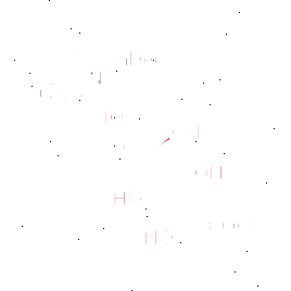 CCCCCCCCCC[N+](C)(C)CCCCCCCC.O=C([O-])[C@H](O)[C@@H](O)[C@H](O)[C@H](O)CO